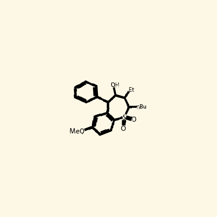 CCCCC1C(CC)C(O)C(c2ccccc2)c2cc(OC)ccc2S1(=O)=O